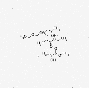 CC(O)CO.CCOC(=O)CC.CCOCC.COC(=O)C(C)O